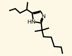 CCCCCC(C)(C)c1ncc(C(C)CCC)[nH]1